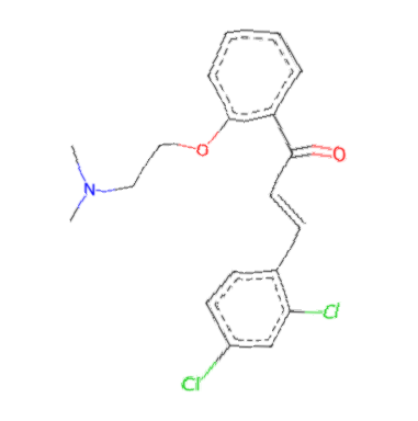 CN(C)CCOc1ccccc1C(=O)C=Cc1ccc(Cl)cc1Cl